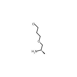 C[C@@H](N)COCCCCl